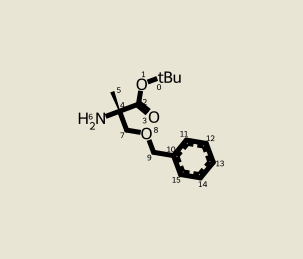 CC(C)(C)OC(=O)[C@@](C)(N)COCc1ccccc1